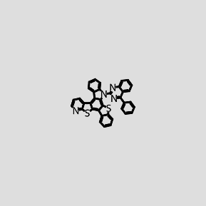 c1ccc(-c2nc(-n3c4ccccc4c4c5c6cccnc6sc5c5c6ccccc6sc5c43)nc3ccccc23)cc1